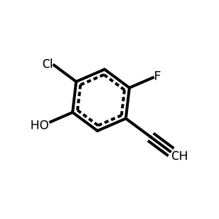 C#Cc1cc(O)c(Cl)cc1F